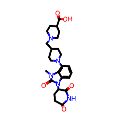 Cn1c(=O)n(C2CCC(=O)NC2=O)c2cccc(N3CCC(CN4CCC(C(=O)O)CC4)CC3)c21